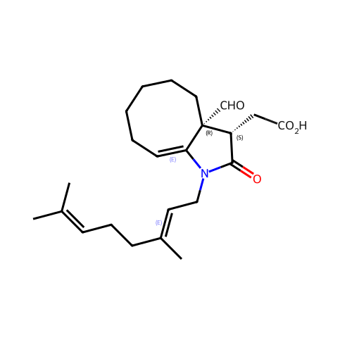 CC(C)=CCC/C(C)=C/CN1C(=O)[C@@H](CC(=O)O)[C@]2(C=O)CCCCC/C=C/12